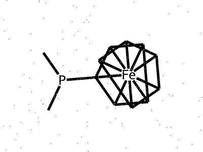 CP(C)[C]12[CH]3[CH]4[CH]5[CH]1[Fe]45321678[CH]2[CH]1[CH]6[CH]7[CH]28